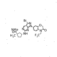 CNC(=O)[C@]1(C)CC[C@@H](Nc2ncc3c(Br)nn(-c4ccc5c(c4)OCC(=O)N5CC(F)(F)F)c3n2)C1